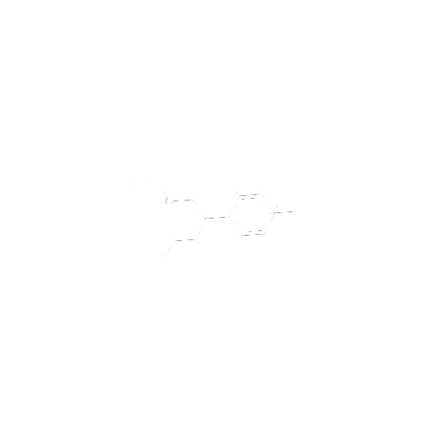 CCOC(=O)NCC(CCO)c1ccc(F)cc1